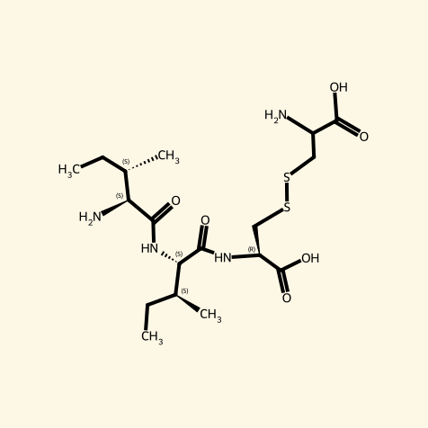 CC[C@H](C)[C@H](N)C(=O)N[C@H](C(=O)N[C@@H](CSSCC(N)C(=O)O)C(=O)O)[C@@H](C)CC